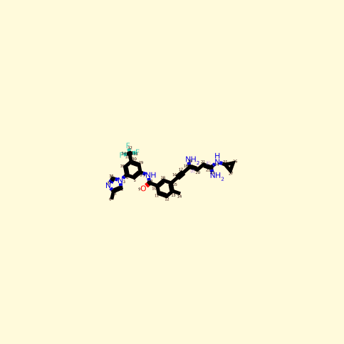 Cc1cn(-c2cc(NC(=O)c3ccc(C)c(C#C/C(N)=C/C=C(\N)NC4CC4)c3)cc(C(F)(F)F)c2)cn1